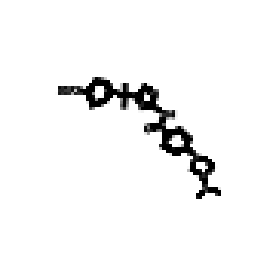 COc1ccc(C(C)(C)c2csc(NC(=O)c3ccc(N4CCN(N(C)C)C4)cc3)n2)cc1